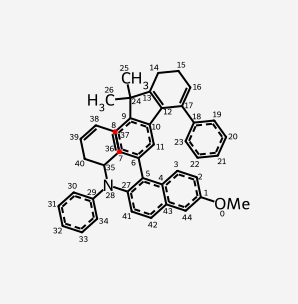 COc1ccc2c(-c3ccc4c(c3)C3=C(CCC=C3c3ccccc3)C4(C)C)c(N(c3ccccc3)C3C=CC=CC3)ccc2c1